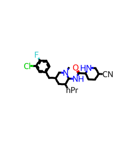 CCCC1CC(Cc2ccc(F)c(Cl)c2)CN(C)C1NC(=O)C1CCC(C#N)CN1